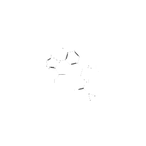 N[C@H](CNC(=O)C1CC1)c1ccc(Cl)c(-n2ncnc2C(F)F)c1